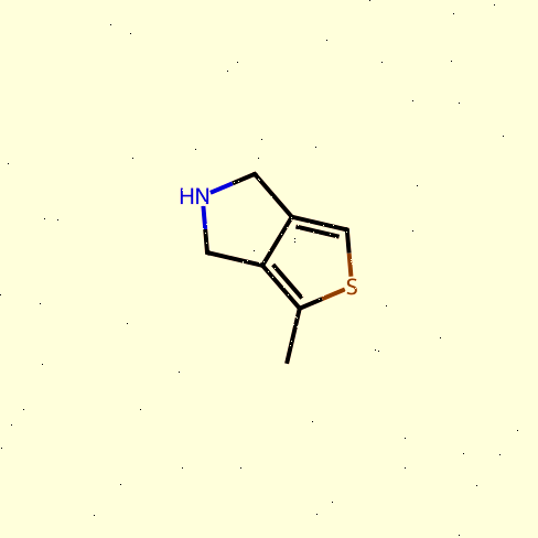 Cc1scc2c1CNC2